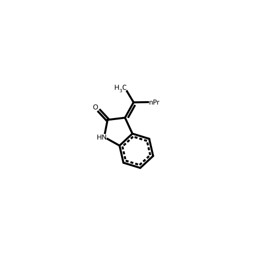 CCC/C(C)=C1/C(=O)Nc2ccccc21